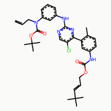 C=CCN(C(=O)OC(C)(C)C)c1cccc(Nc2ncc(Cl)c(-c3cc(NC(=O)OCC=CC(C)(C)C)ccc3C)n2)c1